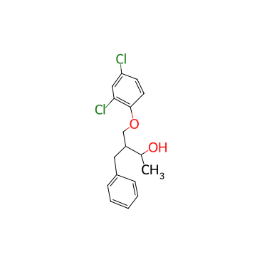 CC(O)C(COc1ccc(Cl)cc1Cl)Cc1ccccc1